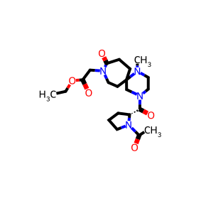 CCOC(=O)CN1CCC2(CCC1=O)CN(C(=O)[C@H]1CCCN1C(C)=O)CCN2C